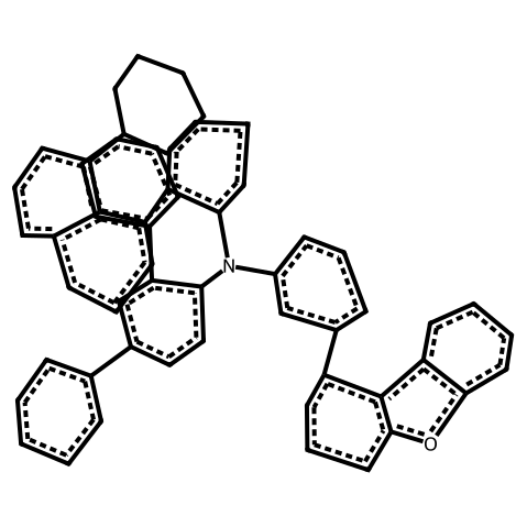 c1ccc(-c2ccc(N(c3cccc(-c4cccc5oc6ccccc6c45)c3)c3ccccc3-c3cccc4cccc(C5CCCCC5)c34)c(-c3ccccc3)c2)cc1